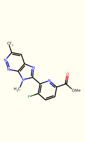 COC(=O)c1ccc(F)c(-c2nc3cc(C(F)(F)F)nnc3n2C)n1